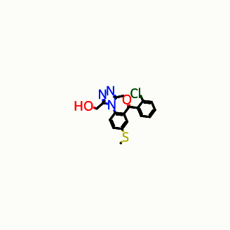 CSc1ccc(-n2c(C)nnc2CO)c(C(=O)c2ccccc2Cl)c1